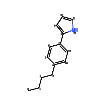 CCCCc1ccc(-c2ccc[nH]2)cc1